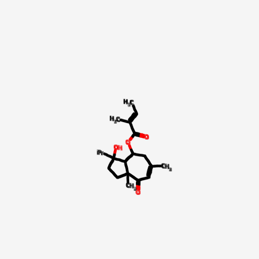 C/C=C(\C)C(=O)OC1CC(C)=CC(=O)C2(C)CCC(O)(C(C)C)C12